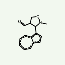 CN1OCC(C=O)C1c1ccc2cccccc1-2